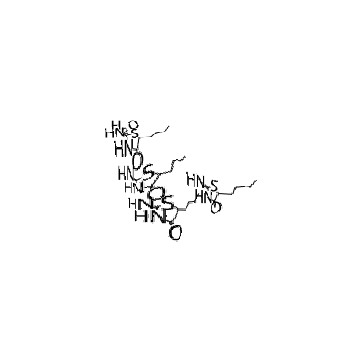 CCCCC1SC(=N)NC1=O.CCCCC1SC(=N)NC1=O.CCCCC1SC(=N)NC1=O.CCCCC1SC(=N)NC1=O.O